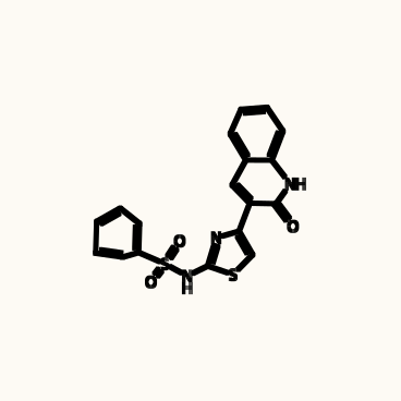 O=c1[nH]c2ccccc2cc1-c1csc(NS(=O)(=O)c2ccccc2)n1